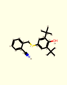 CC(C)(C)c1cc(SCc2ccccc2C#N)cc(C(C)(C)C)c1O